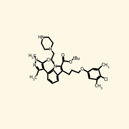 Cc1cc(OCCCc2c(C(=O)OC(C)(C)C)n(CCN3CCNCC3)c3c(-c4c(C)nn(C)c4C)cccc23)cc(C)c1Cl